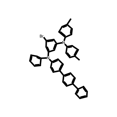 Cc1ccc(N(c2ccc(C)cc2)c2cc(Br)cc(N(c3ccccc3)c3ccc(-c4ccc(-c5ccccc5)cc4)cc3)c2)cc1